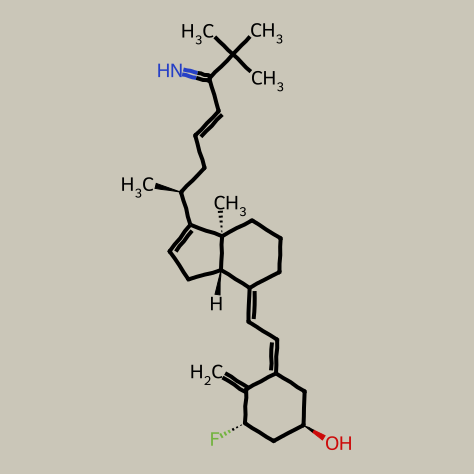 C=C1/C(=C\C=C2/CCC[C@]3(C)C([C@@H](C)C/C=C/C(=N)C(C)(C)C)=CC[C@@H]23)C[C@@H](O)C[C@@H]1F